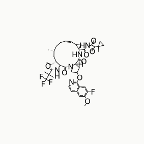 CC[C@@H]1C[C@H](C)CC/C=C\C2CC2(C(=O)NS(=O)(=O)C2(C)CC2)NC(=O)[C@@H]2C[C@@H](Oc3nccc4cc(OC)c(F)cc34)CN2C(=O)[C@H]1NC(=O)C(C)(C)C(F)(F)F